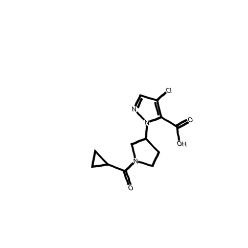 O=C(O)c1c(Cl)cnn1C1CCN(C(=O)C2CC2)C1